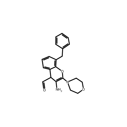 NC1=C(N2CCOCC2)Oc2c(Cc3ccccc3)cccc2C1C=O